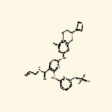 C=CCNC(=O)c1cnc(Nc2cc(C)c3c(c2)CN(C2CCC2)CC3)nc1Nc1cccc(N=S(C)(C)=O)n1